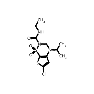 CCNC(=O)N1CN(C(C)C)c2cc(Cl)sc2S1(=O)=O